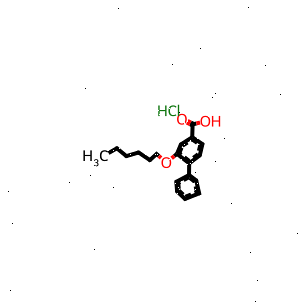 CCCCCCOc1cc(C(=O)O)ccc1-c1ccccc1.Cl